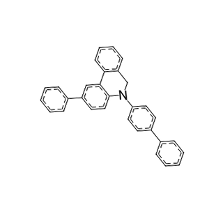 c1ccc(-c2ccc(N3Cc4ccccc4-c4cc(-c5ccccc5)ccc43)cc2)cc1